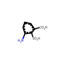 Nc1cccc(C(=O)O)c1S(=O)(=O)O